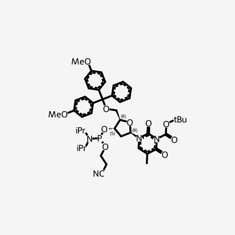 COc1ccc(C(OC[C@H]2O[C@@H](n3cc(C)c(=O)n(C(=O)OC(C)(C)C)c3=O)C[C@@H]2OP(OCCC#N)N(C(C)C)C(C)C)(c2ccccc2)c2ccc(OC)cc2)cc1